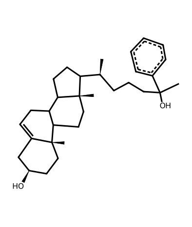 C[C@@H](CCCC(C)(O)c1ccccc1)C1CCC2C3CC=C4C[C@H](O)CC[C@@]4(C)C3CC[C@]21C